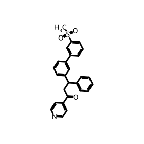 CS(=O)(=O)c1cccc(-c2cccc(C(CC(=O)c3ccncc3)c3ccccc3)c2)c1